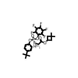 C[C@H](NP(=O)(Oc1ccc(C(C)(C)C)cc1)Oc1c(F)c(F)c(F)c(F)c1F)C(=O)OC1CC(C)(C)C1